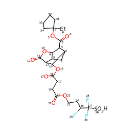 CCC1(OC(=O)C2C3CC4C2OC(=O)C4C3OC(=O)CCC(=O)OCCC(F)C(F)(F)S(=O)(=O)O)CCCC1